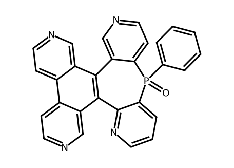 O=P1(c2ccccc2)c2ccncc2-c2c(c3cnccc3c3ccncc23)-c2ncccc21